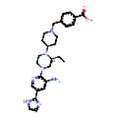 CC[C@H]1CN(c2ncc(-c3ncc[nH]3)cc2N)CCN1C1CCN(Cc2ccc(C(=O)O)cc2)CC1